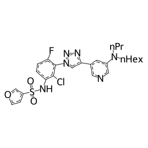 CCCCCCN(CCC)c1cncc(-c2cn(-c3c(F)ccc(NS(=O)(=O)c4ccoc4)c3Cl)nn2)c1